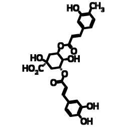 Cc1ccc(/C=C/C(=O)O[C@@H]2C[C@@](O)(C(=O)O)C[C@@H](OC(=O)/C=C/c3ccc(O)c(O)c3)[C@@H]2O)cc1O